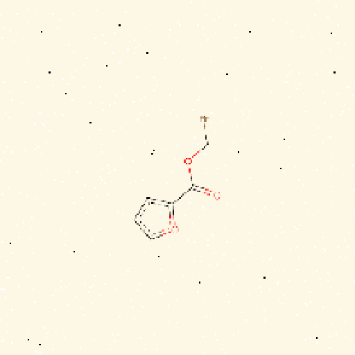 O=C(OCBr)c1ccco1